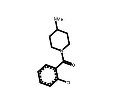 CNC1CCN(C(=O)c2ccccc2Cl)CC1